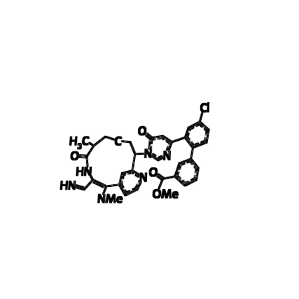 CN/C1=C(\C=N)NC(=O)C(C)CCCC(n2cnc(-c3cc(Cl)ccc3-c3cccc(C(=O)OC)c3)cc2=O)c2cc1ccn2